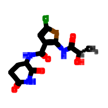 C[C@H](O)C(=O)Nc1sc(Cl)cc1C(=O)NC1CCC(=O)NC1=O